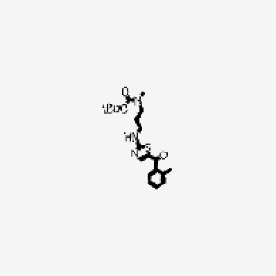 Cc1ccccc1C(=O)c1cnc(NCCCN(C)C(=O)OC(C)(C)C)s1